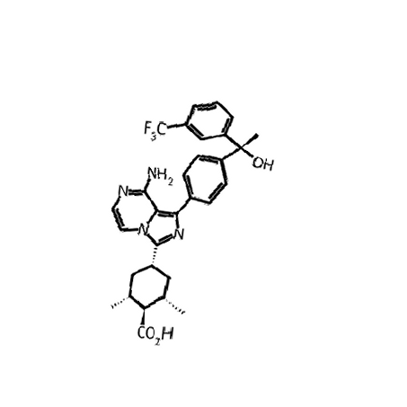 C[C@@H]1C[C@H](c2nc(-c3ccc([C@@](C)(O)c4cccc(C(F)(F)F)c4)cc3)c3c(N)nccn23)C[C@H](C)[C@H]1C(=O)O